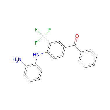 Nc1ccccc1Nc1ccc(C(=O)c2ccccc2)cc1C(F)(F)F